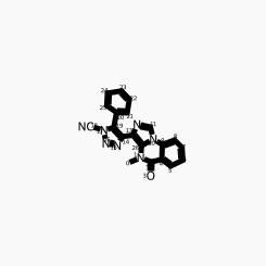 Cn1c(=O)c2ccccc2n2cnc(-c3nnn(C#N)c3-c3ccccc3)c12